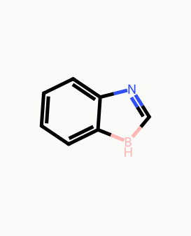 B1C=Nc2ccccc21